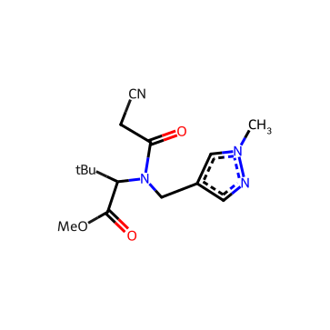 COC(=O)C(N(Cc1cnn(C)c1)C(=O)CC#N)C(C)(C)C